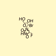 O=c1[nH]c(=O)n([C@H]2O[C@@H](CO)C(O)C2Br)cc1CF